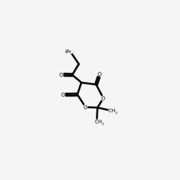 CC(C)CC(=O)C1C(=O)OC(C)(C)OC1=O